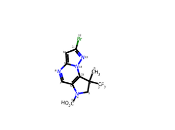 CC1(C(F)(F)F)CN(C(=O)O)c2cnc3cc(Br)nn3c21